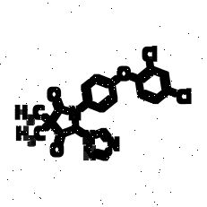 CC1(C)C(=O)C(n2cncn2)N(c2ccc(Oc3ccc(Cl)cc3Cl)cc2)C1=O